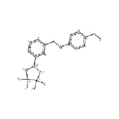 CCc1ccc(OCc2cccc(B3OC(C)(C)C(C)(C)O3)c2)cc1